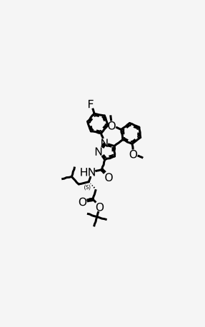 COc1cccc(OC)c1-c1cc(C(=O)N[C@H](CC(=O)OC(C)(C)C)CC(C)C)nn1-c1ccc(F)cc1